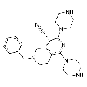 N#Cc1c(N2CCNCC2)nc(N2CCNCC2)c2c1CN(Cc1ccccc1)CC2